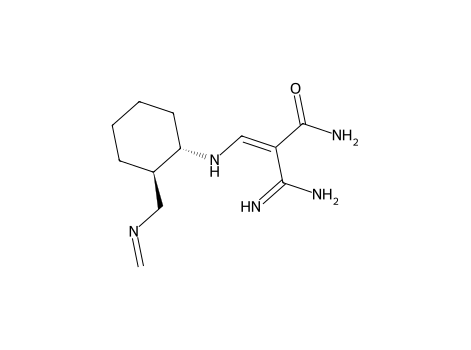 C=NC[C@H]1CCCC[C@@H]1N/C=C(\C(=N)N)C(N)=O